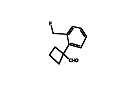 O=CC1(c2ccccc2CF)CCC1